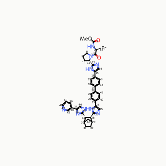 COC(=O)N[C@H](C(=O)N1CCC[C@H]1c1ncc(-c2ccc(-c3ccc(-c4cnc([C@H]5C6CCC(C6)[C@@H]5c5nc(-c6cccnc6)c[nH]5)[nH]4)cc3)cc2)[nH]1)C(C)C